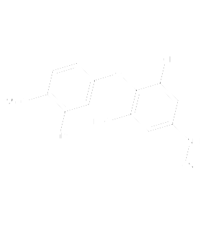 COc1ccc(Oc2c(C)cc(NC#N)cc2C)cc1C(C)C